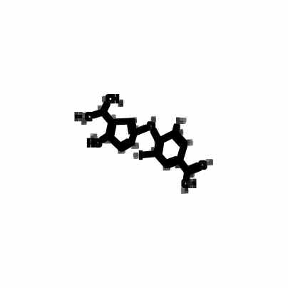 CC(C)c1cc(Oc2c(I)cc(C(=O)O)cc2I)ccc1O